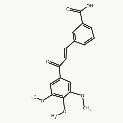 COc1cc(C(=O)C=Cc2cccc(C(=O)O)c2)cc(OC)c1OC